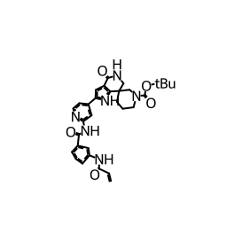 C=CC(=O)Nc1cccc(C(=O)Nc2cc(-c3cc4c([nH]3)C3(CCCN(C(=O)OC(C)(C)C)C3)CNC4=O)ccn2)c1